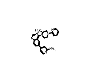 C[C@H]1CN(c2ccccn2)CCN1c1ncnc2ccc(-c3ccnc(N)c3)cc12